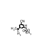 C=C(C)c1cc(C#N)cc(NS(C)(=O)=O)c1